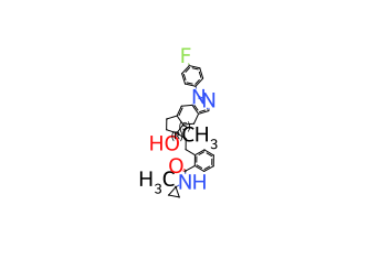 CC1(NC(=O)c2ccccc2CC[C@]2(O)CCC3=Cc4c(cnn4-c4ccc(F)cc4)C[C@@]32C)CC1